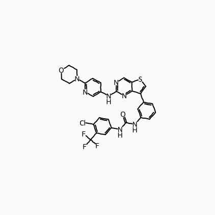 O=C(Nc1cccc(-c2csc3cnc(Nc4ccc(N5CCOCC5)nc4)nc23)c1)Nc1ccc(Cl)c(C(F)(F)F)c1